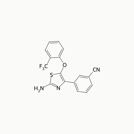 N#Cc1cccc(-c2nc(N)sc2Oc2ccccc2C(F)(F)F)c1